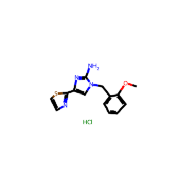 COc1ccccc1Cn1cc(-c2nccs2)nc1N.Cl